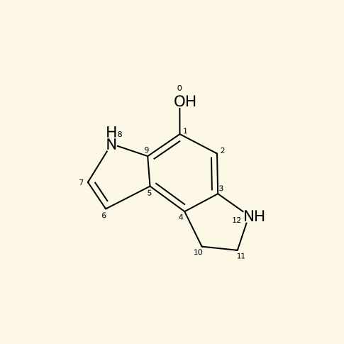 Oc1cc2c(c3cc[nH]c13)CCN2